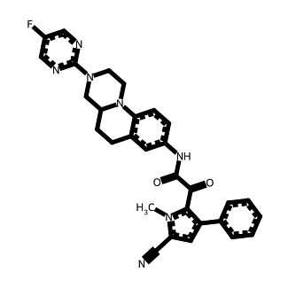 Cn1c(C#N)cc(-c2ccccc2)c1C(=O)C(=O)Nc1ccc2c(c1)CCC1CN(c3ncc(F)cn3)CCN21